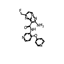 Nc1nn2ccc(CF)nc2c1C(=O)Nc1cnccc1Oc1ccncc1